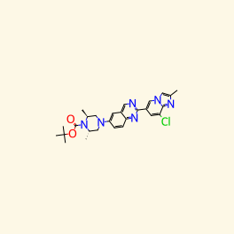 Cc1cn2cc(-c3ncc4cc(N5C[C@H](C)N(C(=O)OC(C)(C)C)[C@@H](C)C5)ccc4n3)cc(Cl)c2n1